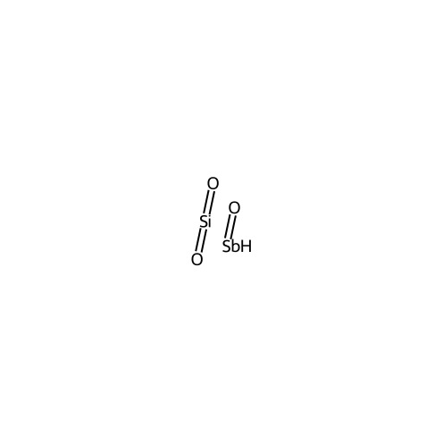 O=[Si]=O.[O]=[SbH]